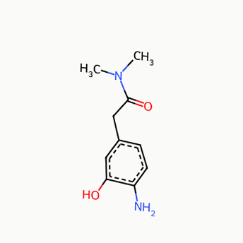 CN(C)C(=O)Cc1ccc(N)c(O)c1